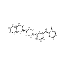 Cc1ccccc1Nc1cc(N2CCC(N3CCc4ccccc4C3)CC2)ncn1